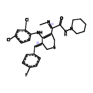 C/N=C(/C(=O)NN1CCCCC1)C1=C(Nc2ccc(Cl)cc2Cl)/C(=C/c2ccc(F)cc2)CSC1